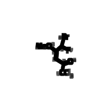 COC(=CC(=O)C(Cl)(Cl)Cl)C(F)Br